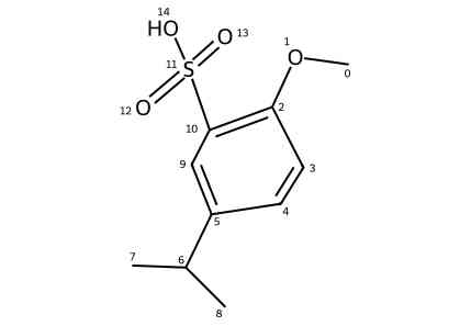 COc1ccc(C(C)C)cc1S(=O)(=O)O